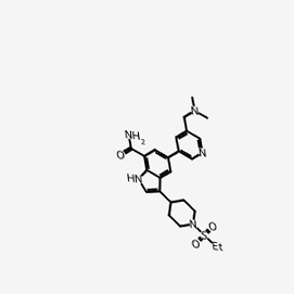 CCS(=O)(=O)N1CCC(c2c[nH]c3c(C(N)=O)cc(-c4cncc(CN(C)C)c4)cc23)CC1